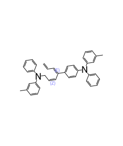 C=C/C=C(\C=C/CN(c1ccccc1)c1cccc(C)c1)c1ccc(N(c2ccccc2)c2cccc(C)c2)cc1